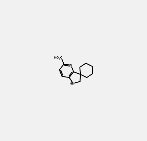 O=C(O)c1ccc2c(n1)C1(CCCCC1)CN2